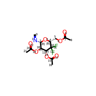 C=N[C@@H]1O[C@H](COC(C)=O)C(F)(F)[C@H](OC(C)=O)[C@H]1OC(C)=O